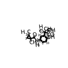 C[C@H]1CC1(C)C(=O)Nc1cccc(C(C)(O)P(=O)(O)O)c1